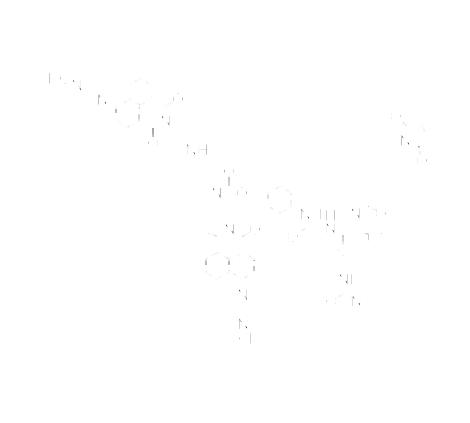 CC(C)[C@H](NC(=O)CCCCCN1C(=O)C=CC1=O)C(=O)NC(CCCNC(N)=O)C(=O)Nc1ccc(COC(=O)N(CCCNCCN2C(=O)c3cccc4c(N5CCN(C)CC5)ccc(c34)C2=O)CCN2C(=O)c3cccc4c(N5CCN(C)CC5)ccc(c34)C2=O)cc1